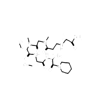 CC[C@H](C)[C@H](NC(=O)[C@H](CC(C)C)NC(=O)[C@H](CC(C)C)N(C)C(=O)CN(C)C(=O)CCN[C@H](C)C(N)=O)C(=O)N1CCCCC1